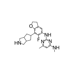 CNc1cc(C)nc(Nc2cc3c(c(C4CC5CNCC5C4)c2F)OCC3)n1